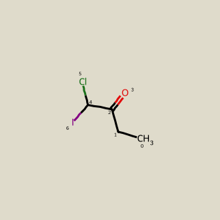 CCC(=O)C(Cl)I